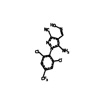 N#Cc1nn(-c2c(Cl)cc(C(F)(F)F)cc2Cl)c(N)c1/C=N\O